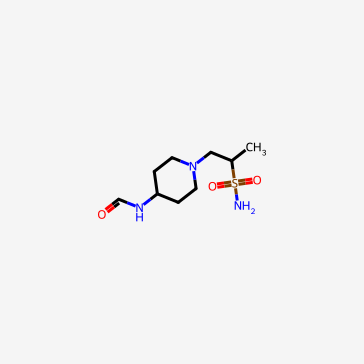 CC(CN1CCC(NC=O)CC1)S(N)(=O)=O